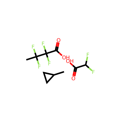 CC(F)(F)C(F)(F)C(=O)O.CC1CC1.O=C(O)C(F)F